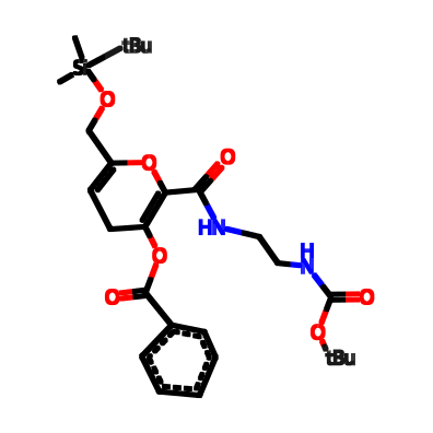 CC(C)(C)OC(=O)NCCNC(=O)C1=C(OC(=O)c2ccccc2)CC=C(CO[Si](C)(C)C(C)(C)C)O1